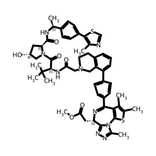 COC(=O)C[C@@H]1N=C(c2ccc(-c3cccc4c3CN(CC(=O)N[C@H](C(=O)N3C[C@H](O)C[C@H]3C(=O)N[C@@H](C)c3ccc(-c5scnc5C)cc3)C(C)(C)C)CC4)cc2)c2c(sc(C)c2C)-n2c(C)nnc21